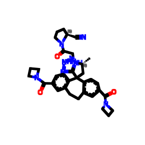 C[C@H](CC1(c2nnn[nH]2)c2ccc(C(=O)N3CCC3)cc2CCc2cc(C(=O)N3CCC3)ccc21)NCC(=O)N1CCC[C@H]1C#N